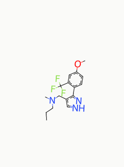 CCCN(C)Cc1c[nH]nc1-c1ccc(OC)cc1C(F)(F)F